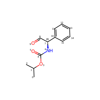 CC(C)OC(=O)N[C@@H]([C]=O)c1ccccc1